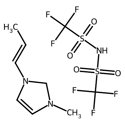 CC=CN1C=CN(C)C1.O=S(=O)(NS(=O)(=O)C(F)(F)F)C(F)(F)F